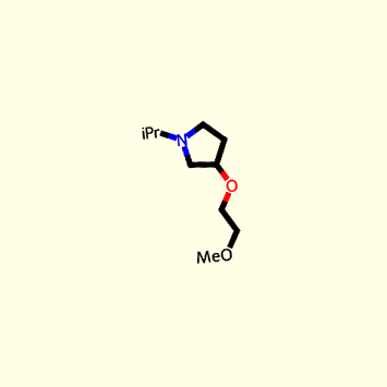 COCCOC1CCN(C(C)C)C1